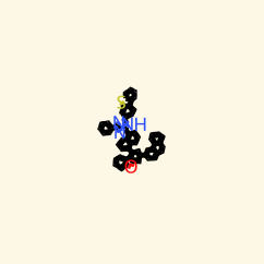 c1ccc(C2=NC(c3cccc4c(-c5cc(-c6ccc7ccc8ccccc8c7c6)cc6oc7ccccc7c56)cccc34)NC(c3ccc4c(c3)sc3ccccc34)=N2)cc1